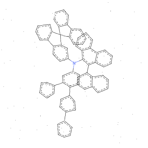 c1ccc(-c2ccc(-c3ccc(N(c4ccc5c(c4)C4(c6ccccc6-c6ccccc64)c4ccccc4-5)c4c(-c5cccc6ccccc56)c5ccccc5c5ccccc45)cc3-c3ccccc3)cc2)cc1